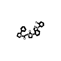 O=C1N(CC(=O)N2CCCC2c2ccccc2)CCN1c1cccc2c1cnn2-c1ccccc1F